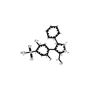 NS(=O)(=O)c1cc(F)c(-c2c(-c3ccccc3)noc2CF)cc1F